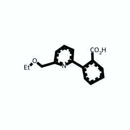 CCOCc1cccc(-c2ccccc2C(=O)O)n1